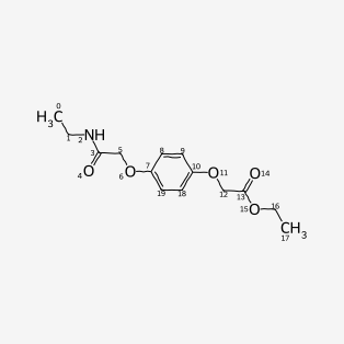 CCNC(=O)COc1ccc(OCC(=O)OCC)cc1